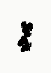 O=C1CCC(Nc2cccc(CN3C4CCC3CN(c3ccc(-c5cc(F)c6c(c5)C(=O)N(C(C(=O)Nc5nccs5)c5ncn7c5CCC7)C6)cc3)C4)c2)C(=O)N1